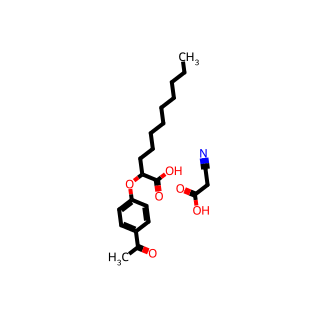 CCCCCCCCCC(Oc1ccc(C(C)=O)cc1)C(=O)O.N#CCC(=O)O